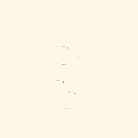 CC/C(C(=O)OC)=C(\OC(=O)c1ccccc1)C(=O)O